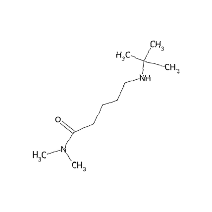 CN(C)C(=O)CCCCNC(C)(C)C